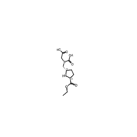 CCOC(=O)[C@@H]1CC[C@@H](CN(CC(=O)O)C(=O)O)N1